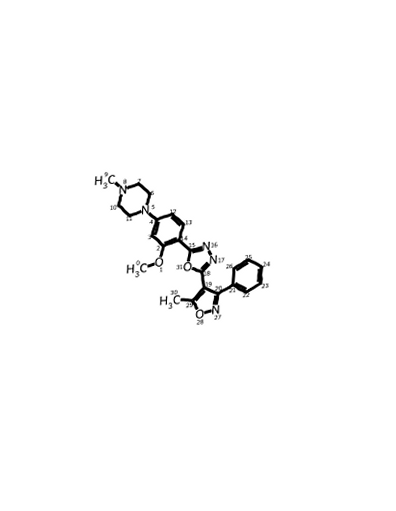 COc1cc(N2CCN(C)CC2)ccc1-c1nnc(-c2c(-c3ccccc3)noc2C)o1